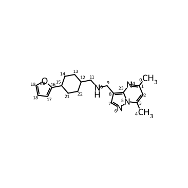 Cc1cc(C)n2ncc(CNCC3CCC(c4ccco4)CC3)c2n1